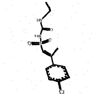 CCNC(=O)NS(=O)(=O)C=C(C)c1ccc(Cl)cc1